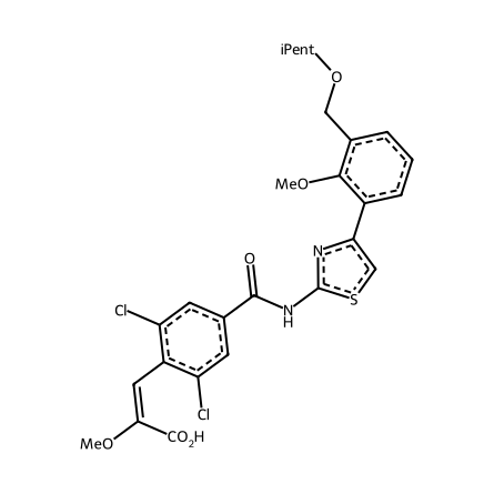 CCCC(C)OCc1cccc(-c2csc(NC(=O)c3cc(Cl)c(C=C(OC)C(=O)O)c(Cl)c3)n2)c1OC